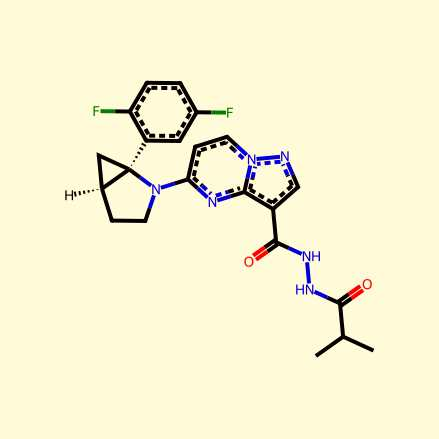 CC(C)C(=O)NNC(=O)c1cnn2ccc(N3CC[C@H]4C[C@]43c3cc(F)ccc3F)nc12